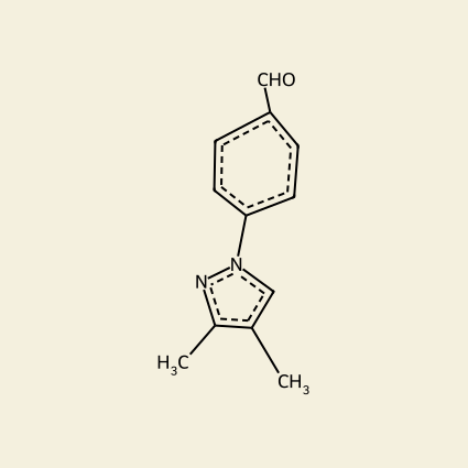 Cc1cn(-c2ccc(C=O)cc2)nc1C